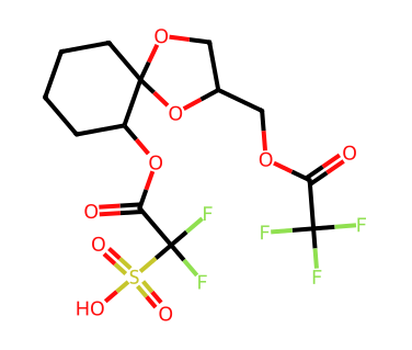 O=C(OCC1COC2(CCCCC2OC(=O)C(F)(F)S(=O)(=O)O)O1)C(F)(F)F